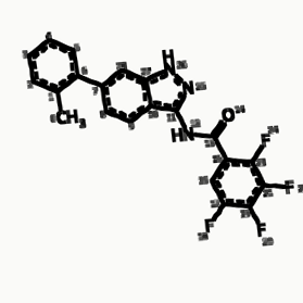 Cc1ccccc1-c1ccc2c(NC(=O)c3cc(F)c(F)c(F)c3F)n[nH]c2c1